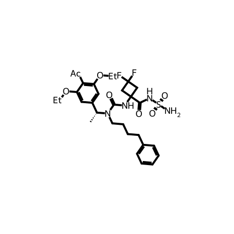 CCOc1cc([C@@H](C)N(CCCCc2ccccc2)C(=O)NC2(C(=O)NS(N)(=O)=O)CC(F)(F)C2)cc(OCC)c1C(C)=O